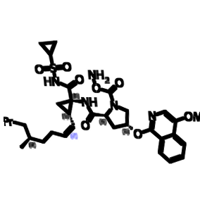 COc1cnc(O[C@@H]2C[C@@H](C(=O)N[C@]3(C(=O)NS(=O)(=O)C4CC4)C[C@H]3/C=C\CC[C@@H](C)CC(C)C)N(C(=O)ON)C2)c2ccccc12